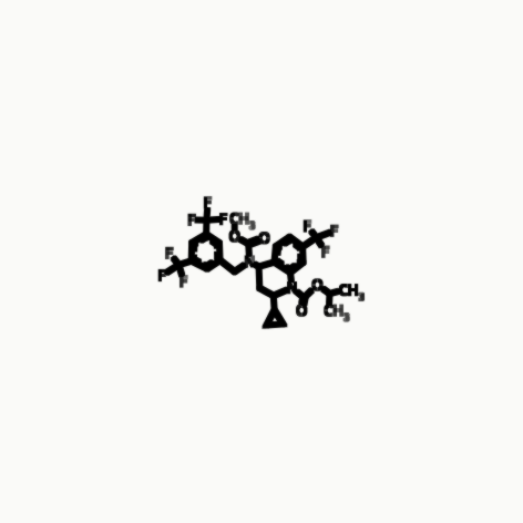 COC(=O)N(Cc1cc(C(F)(F)F)cc(C(F)(F)F)c1)C1CC(C2CC2)N(C(=O)OC(C)C)c2cc(C(F)(F)F)ccc21